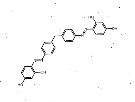 Oc1ccc(/N=N/c2ccc(Cc3ccc(/N=N/c4ccc(O)cc4O)cc3)cc2)c(O)c1